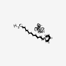 CCCCCCCCCCCC[n+]1ccccc1.O=S(=O)([O-])O